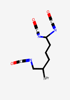 CCCC(CCCC(N=C=O)N=C=O)CN=C=O